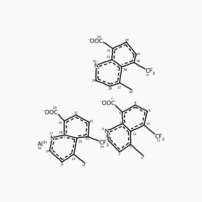 Cc1ccnc2c(C(=O)[O-])ccc(C(F)(F)F)c12.Cc1ccnc2c(C(=O)[O-])ccc(C(F)(F)F)c12.Cc1ccnc2c(C(=O)[O-])ccc(C(F)(F)F)c12.[Al+3]